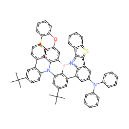 CC(C)(C)c1ccc(N2c3cc4c(cc3B3c5c(cc(C(C)(C)C)cc52)-c2cc(N(c5ccccc5)c5ccccc5)cc5c6sc7ccccc7c6n3c25)Oc2ccccc2S4)c(-c2ccccc2)c1